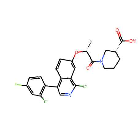 C[C@@H](Oc1ccc2c(-c3ccc(F)cc3Cl)cnc(Cl)c2c1)C(=O)N1CCC[C@@H](C(=O)O)C1